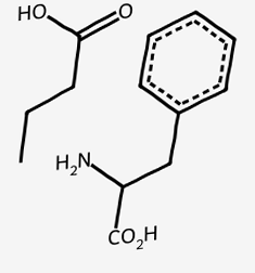 CCCC(=O)O.NC(Cc1ccccc1)C(=O)O